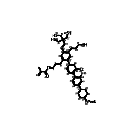 C=C(C)C(=O)OCCCc1cc(OCC(CS)(CS)CS)c(CCCS)cc1-c1ccc(-c2ccc(C3CCC(CCCCC)CC3)cc2F)c(CC)c1